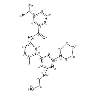 Cc1ccc(NC(=O)c2cccc(C(F)F)c2)cc1-c1cc(NCCO)nc(N2CCOCC2)c1